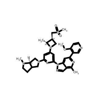 COc1ccncc1-c1cc2c(cnn2-c2cc(N3C[C@H](CS(C)(=O)=O)[C@H]3C)cc(N3CC4CCN(C)[C@H]4C3)n2)c(C)n1